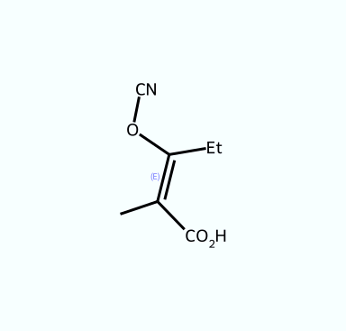 CC/C(OC#N)=C(/C)C(=O)O